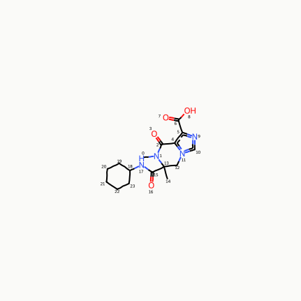 CN1C(=O)c2c(C(=O)O)ncn2CC1(C)C(=O)NC1CCCCC1